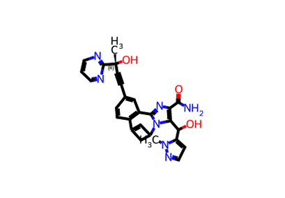 Cn1nccc1C(O)c1c(C(N)=O)nc2n1C1C=C(C1)c1ccc(C#C[C@@](C)(O)c3ncccn3)cc1-2